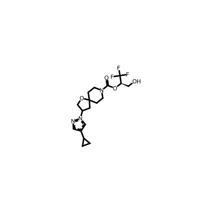 O=C(O[C@H](CO)C(F)(F)F)N1CCC2(CC1)CC(n1cc(C3CC3)cn1)CO2